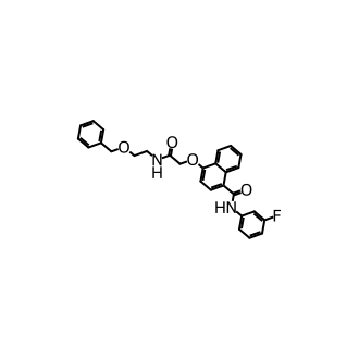 O=C(COc1ccc(C(=O)Nc2cccc(F)c2)c2ccccc12)NCCOCc1ccccc1